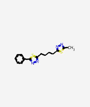 Cc1nnc(CCCCc2nnc(-c3ccccc3)s2)s1